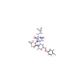 Cc1ccc(OCC2CCN(C(=O)[C@H](CC(C)C)N3CCN[C@@H](CCC(C)C)C3=O)CC2)cc1